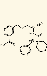 N#C[C@@H](COCc1cccc(C(=O)O)c1)NC(=O)C1(Nc2ccccc2)CCCCC1